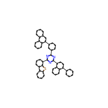 c1ccc(-c2ccc(-c3nc(-c4cccc(-c5cc6ccccc6c6ccccc56)c4)nc(-c4cccc5c4sc4ccccc45)n3)c3ccccc23)cc1